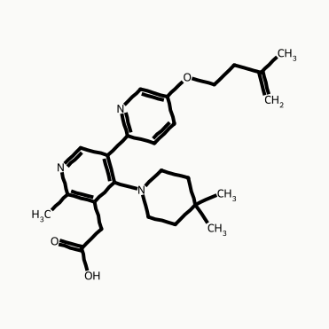 C=C(C)CCOc1ccc(-c2cnc(C)c(CC(=O)O)c2N2CCC(C)(C)CC2)nc1